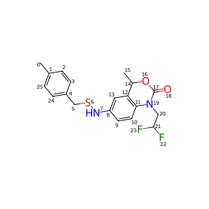 Cc1ccc(CSNc2ccc3c(c2)C(C)OC(=O)N3CC(F)F)cc1